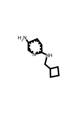 Nc1ccc(NCC2CCC2)nc1